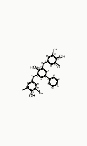 Cc1cc(Cc2cc(-c3ccccc3)cc(Cc3cc(C)c(O)c(I)c3)c2O)cc(I)c1O